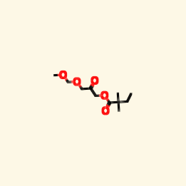 CCC(C)(C)C(=O)OCC(=O)COCOC